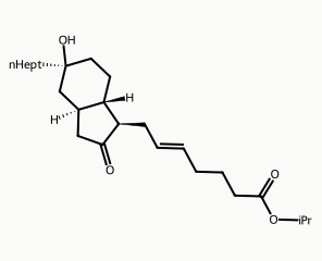 CCCCCCC[C@]1(O)CC[C@H]2[C@@H](CC(=O)[C@@H]2CC=CCCCC(=O)OC(C)C)C1